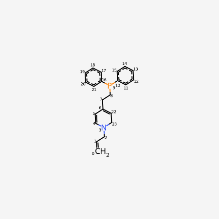 C=CCN1C=CC(CCP(c2ccccc2)c2ccccc2)=CC1